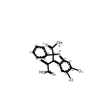 C=C(C(=O)O)C1=c2cc(Cl)c(Cl)cc2=NC1(C(=O)O)c1ccccc1